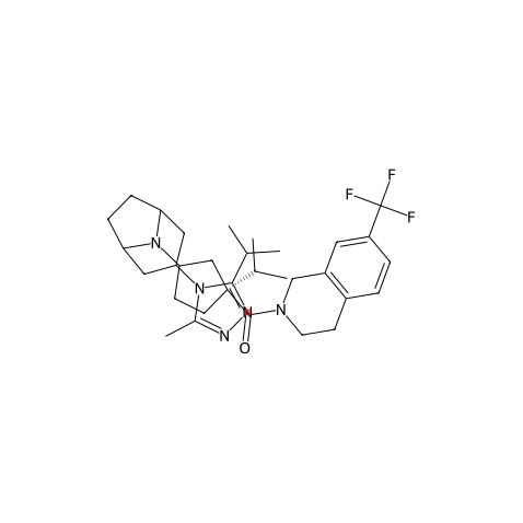 Cc1nnc(C(C)C)n1C1CC2CCC(C1)N2C1CC[C@@](C(=O)N2CCc3ccc(C(F)(F)F)cc3C2)(C(C)C)C1